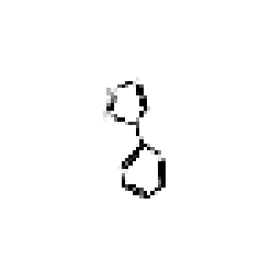 [c]1nnnn1-c1ccccn1